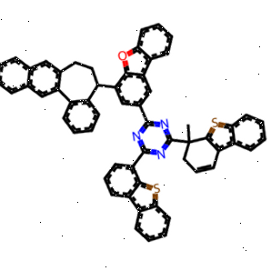 CC1(c2nc(-c3cc(C4CCc5cc6ccccc6cc5-c5ccccc54)c4oc5ccccc5c4c3)nc(-c3cccc4c3sc3ccccc34)n2)CC=Cc2c1sc1ccccc21